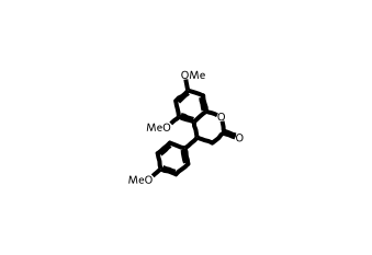 COc1ccc(C2CC(=O)Oc3cc(OC)cc(OC)c32)cc1